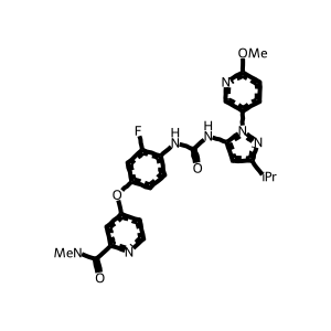 CNC(=O)c1cc(Oc2ccc(NC(=O)Nc3cc(C(C)C)nn3-c3ccc(OC)nc3)c(F)c2)ccn1